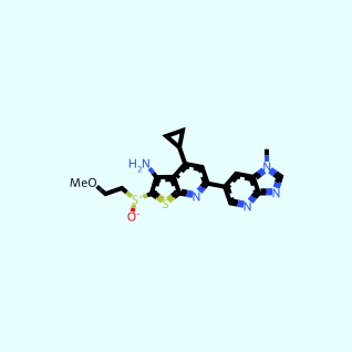 COCC[S+]([O-])c1sc2nc(-c3cnc4ncn(C)c4c3)cc(C3CC3)c2c1N